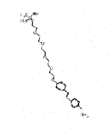 CC(C)(C)[Si](C)(C)OCCOCCOCCOCCOCCOc1ccc(C=Cc2ccc(CN)cc2)cc1